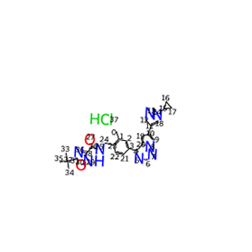 Cc1cc(-c2ncnn3cc(-c4cnn(C5CC5)c4)cc23)ccc1CNC(=O)c1noc(C(C)(C)C)n1.Cl